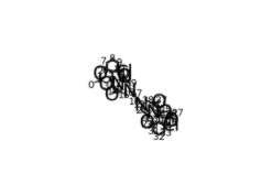 CC(=O)OC(c1ccccc1Cl)N1C(=O)CN(CCN2CC(=O)N(C(OC(C)=O)c3ccccc3Cl)C(=O)C2)CC1=O